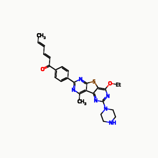 C/C=C/C=C/C(=O)c1ccc(-c2nc(C)c3c(n2)sc2c(OCC)nc(N4CCNCC4)nc23)cc1